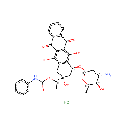 C[C@H]1O[C@@H](O[C@H]2CC(O)([C@@H](C)OC(=O)Nc3ccccc3)Cc3c(O)c4c(c(O)c32)C(=O)c2ccccc2C4=O)C[C@H](N)[C@H]1O.Cl